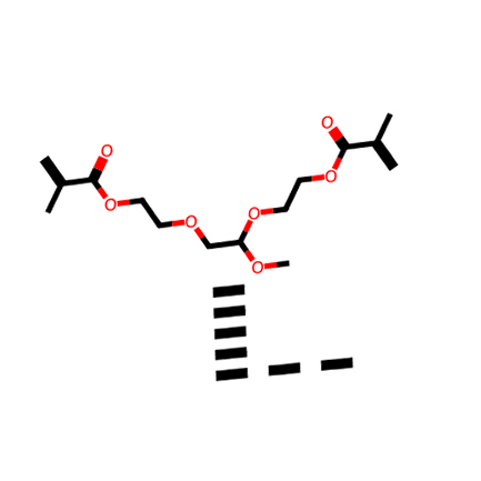 C=C.C=C.C=C.C=C.C=C.C=C.C=C.C=C(C)C(=O)OCCOCC(OC)OCCOC(=O)C(=C)C